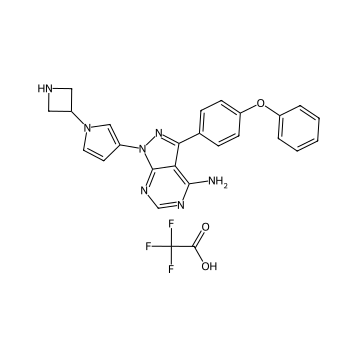 Nc1ncnc2c1c(-c1ccc(Oc3ccccc3)cc1)nn2-c1ccn(C2CNC2)c1.O=C(O)C(F)(F)F